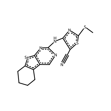 CSc1nc(Nc2ncc3c4c([se]c3n2)CCCC4)c(C#N)s1